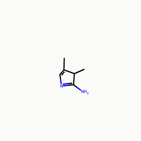 CC1=CN=C(N)C1C